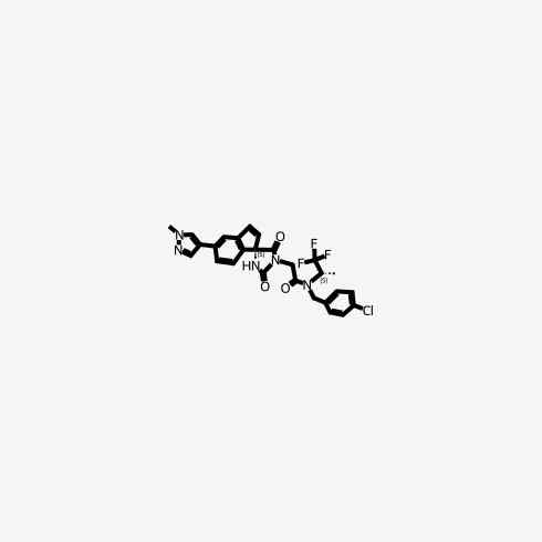 C[C@H](N(Cc1ccc(Cl)cc1)C(=O)CN1C(=O)N[C@]2(C=Cc3cc(-c4cnn(C)c4)ccc32)C1=O)C(F)(F)F